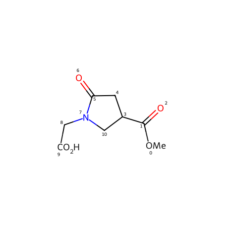 COC(=O)C1CC(=O)N(CC(=O)O)C1